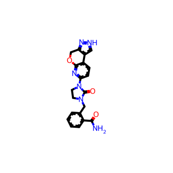 NC(=O)c1ccccc1CN1CCN(c2ccc3c(n2)OCc2n[nH]cc2-3)C1=O